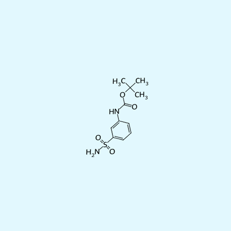 CC(C)(C)OC(=O)Nc1cccc(S(N)(=O)=O)c1